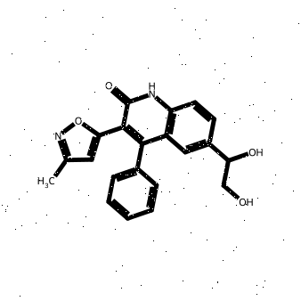 Cc1cc(-c2c(-c3ccccc3)c3cc(C(O)CO)ccc3[nH]c2=O)on1